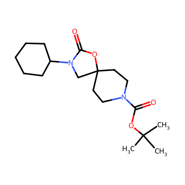 CC(C)(C)OC(=O)N1CCC2(CC1)CN(C1CCCCC1)C(=O)O2